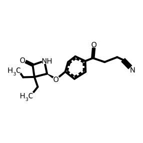 CCC1(CC)C(=O)N[C@H]1Oc1ccc(C(=O)CCC#N)cc1